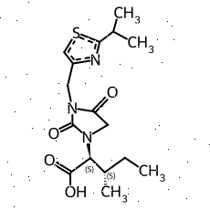 CC[C@H](C)[C@@H](C(=O)O)N1CC(=O)N(Cc2csc(C(C)C)n2)C1=O